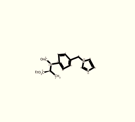 CCOC(=O)[C@H](C)N(C=O)c1ccc(Cn2ccnc2)cc1